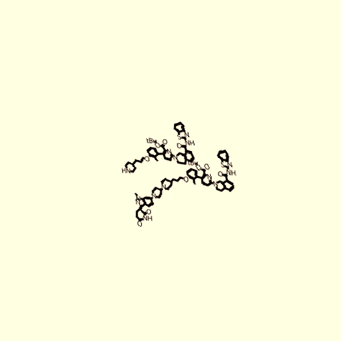 Cc1c(OCCCC2CCN(C3CCN(c4ccc5c(C6CCC(=O)NC6=O)nn(C)c5c4)CC3)CC2)cccc1-c1ccc(N2CCc3cccc(C(=O)Nc4nc5ccccc5s4)c3C2)nc1C(=O)OC(C)(C)C.Cc1c(OCCCC2CCNCC2)cccc1-c1ccc(N2CCc3cccc(C(=O)Nc4nc5ccccc5s4)c3C2)nc1C(=O)OC(C)(C)C